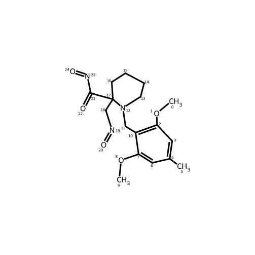 COc1cc(C)cc(OC)c1CN1CCCCC1(CN=O)C(=O)N=O